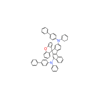 C1=CCCC(N(c2ccc(-c3ccccc3)cc2)c2ccc3c(c2)C2(c4ccccc4Oc4ccccc42)c2cc(N(c4ccccc4)c4ccc(-c5ccccc5)cc4)c4ccccc4c2-3)=C1